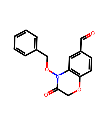 O=Cc1ccc2c(c1)N(OCc1ccccc1)C(=O)CO2